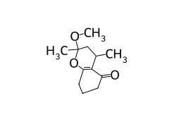 COC1(C)CC(C)C2=C(CCCC2=O)O1